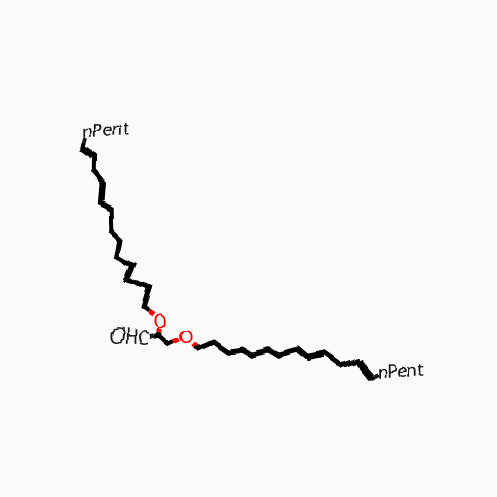 CCCCCC=CCC=CCCCCCCCCOCC(C=O)OCCCCCCCCC=CCC=CCCCCC